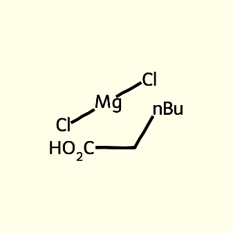 CCCCCC(=O)O.[Cl][Mg][Cl]